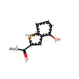 COC(=O)c1cc2c(O)cccc2s1